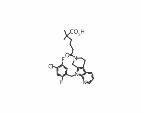 CC(C)(CCCC(=O)N1CCc2c(n(Cc3cc(F)c(Cl)cc3F)c3ncccc23)C1)C(=O)O